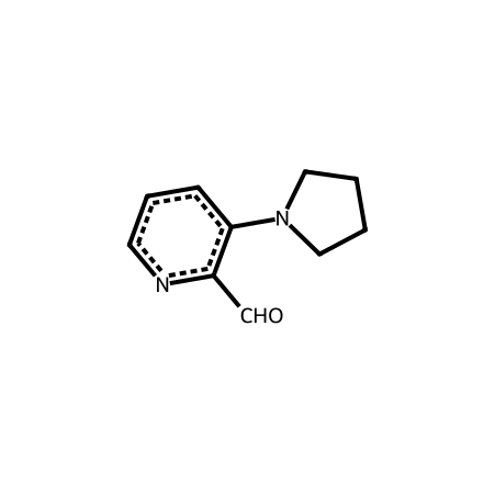 O=Cc1ncccc1N1CCCC1